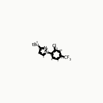 CC(C)(C)c1ccn(-c2ccc(C(F)(F)F)cc2Cl)n1